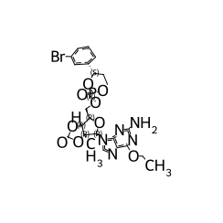 CCOc1nc(N)nc2c1ncn2[C@@H]1O[C@H](CO[P@@]2(=O)OCC[C@@H](c3cccc(Br)c3)O2)[C@H]2OC(=O)O[C@]21C